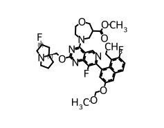 CCc1c(F)ccc2cc(OCOC)cc(-c3ncc4c(N5CCOCC(C(=O)OC)C5)nc(OC[C@@]56CCCN5C[C@H](F)C6)nc4c3F)c12